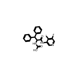 O=C(O)NC(C(=O)Nc1cncc(F)c1I)C(c1ccccc1)c1ccccc1